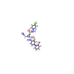 N#CC[C@@H]1[C@@H](C(=O)Nc2ccc(-n3ccccc3=O)cc2F)[C@H]1C(=O)Nc1ccc(Cl)cc1